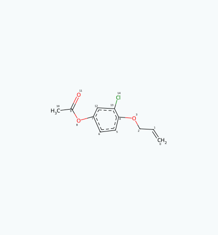 C=CCOc1ccc(OC(C)=O)cc1Cl